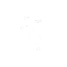 C[C@H]1OCc2cc(Cl)ccc2C1N